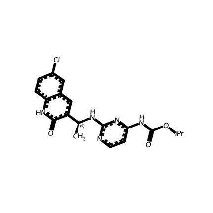 CC(C)OC(=O)Nc1ccnc(N[C@@H](C)c2cc3cc(Cl)ccc3[nH]c2=O)n1